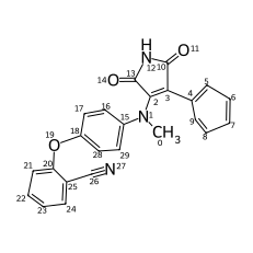 CN(C1=C(c2ccccc2)C(=O)NC1=O)c1ccc(Oc2ccccc2C#N)cc1